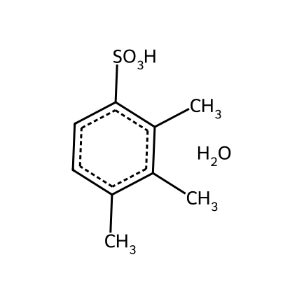 Cc1ccc(S(=O)(=O)O)c(C)c1C.O